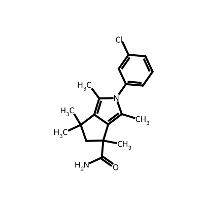 Cc1c2c(c(C)n1-c1cccc(Cl)c1)C(C)(C(N)=O)CC2(C)C